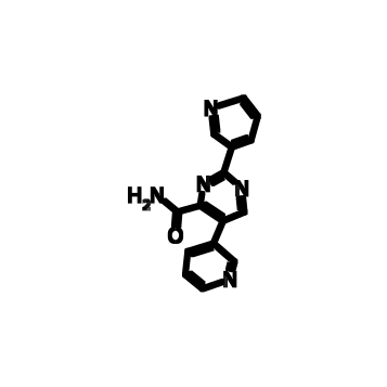 NC(=O)c1nc(-c2cccnc2)ncc1-c1cccnc1